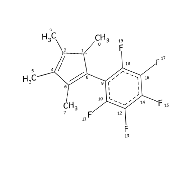 C[C]1C(C)=C(C)C(C)=C1c1c(F)c(F)c(F)c(F)c1F